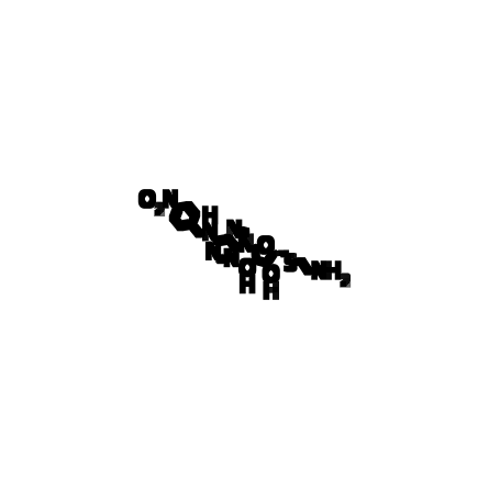 NCCSC[C@H]1O[C@@H](n2cnc3c(NCc4ccc([N+](=O)[O-])cc4)ncnc32)[C@H](O)[C@@H]1O